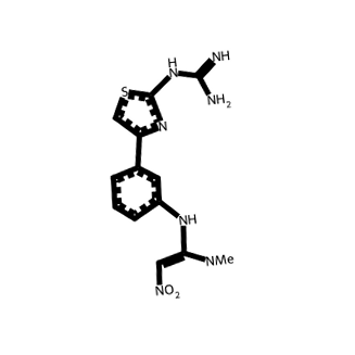 CNC(=C[N+](=O)[O-])Nc1cccc(-c2csc(NC(=N)N)n2)c1